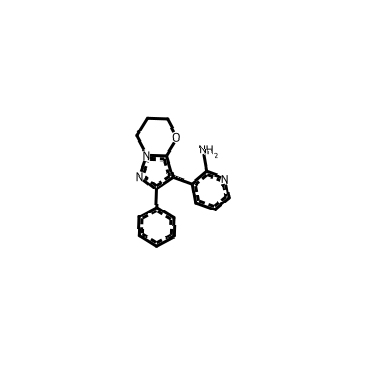 Nc1ncccc1-c1c(-c2ccccc2)nn2c1OCCC2